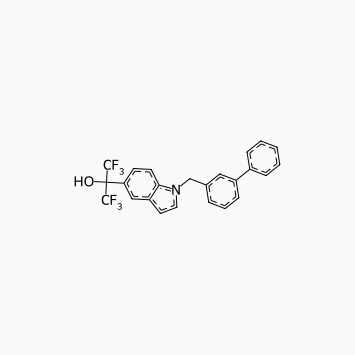 OC(c1ccc2c(ccn2Cc2cccc(-c3ccccc3)c2)c1)(C(F)(F)F)C(F)(F)F